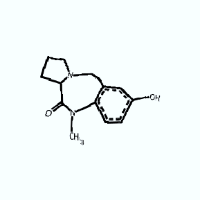 CN1C(=O)C2CCCN2Cc2cc(O)ccc21